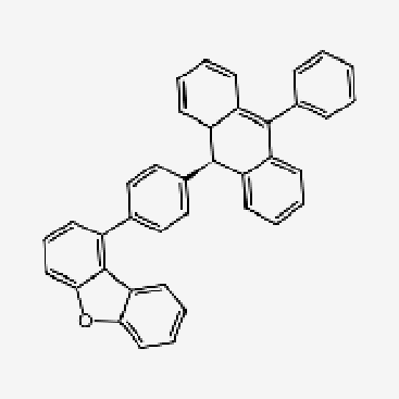 C1=CC2=C(c3ccccc3)c3ccccc3[C@@H](c3ccc(-c4cccc5oc6ccccc6c45)cc3)C2C=C1